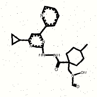 CC1CCC(CN(O)C=O)(C(=O)NNc2nc(-c3ccccn3)cc(C3CC3)n2)CC1